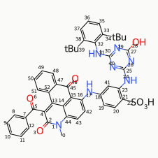 Cn1c(=O)c(C(=O)c2ccccc2)c2c3c(c(Nc4ccc(S(=O)(=O)O)c(Nc5nc(O)nc(Nc6c(C(C)(C)C)cccc6C(C)(C)C)n5)c4)ccc31)C(=O)c1ccccc1-2